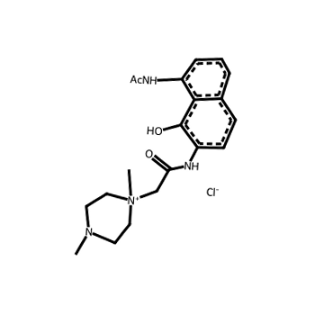 CC(=O)Nc1cccc2ccc(NC(=O)C[N+]3(C)CCN(C)CC3)c(O)c12.[Cl-]